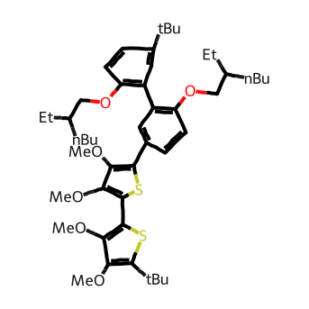 CCCCC(CC)COc1ccc(-c2sc(-c3sc(C(C)(C)C)c(OC)c3OC)c(OC)c2OC)cc1-c1cc(C(C)(C)C)ccc1OCC(CC)CCCC